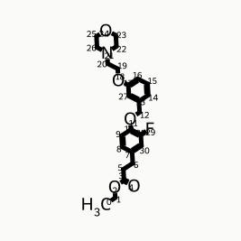 CCOC(=O)CCc1ccc(OCc2cccc(OCCN3CCOCC3)c2)c(F)c1